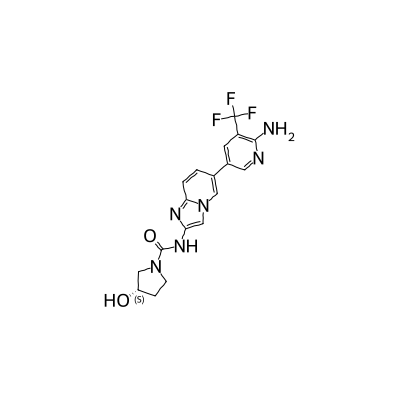 Nc1ncc(-c2ccc3nc(NC(=O)N4CC[C@H](O)C4)cn3c2)cc1C(F)(F)F